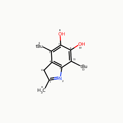 CC1=Nc2c(c(C(C)(C)C)c(O)c(O)c2C(C)(C)C)C1